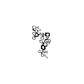 CCO[C@@H]1OC(=O)C[C@@H]1NC(=O)[C@@H]1CCCN1C(=O)CNC(=O)c1ccc(NC(C)=O)cc1F